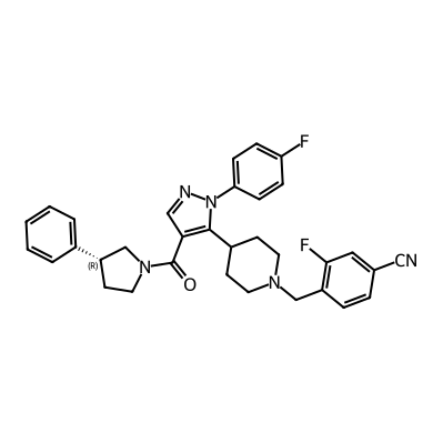 N#Cc1ccc(CN2CCC(c3c(C(=O)N4CC[C@H](c5ccccc5)C4)cnn3-c3ccc(F)cc3)CC2)c(F)c1